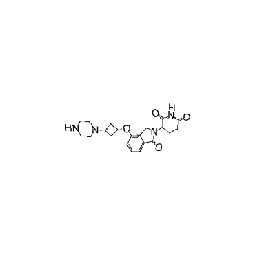 O=C1CCC(N2Cc3c(O[C@H]4C[C@@H](N5CCNCC5)C4)cccc3C2=O)C(=O)N1